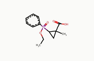 CCOP(=O)(c1ccccc1)C1CC1(C)C(=O)O